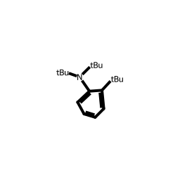 CC(C)(C)c1ccccc1N(C(C)(C)C)C(C)(C)C